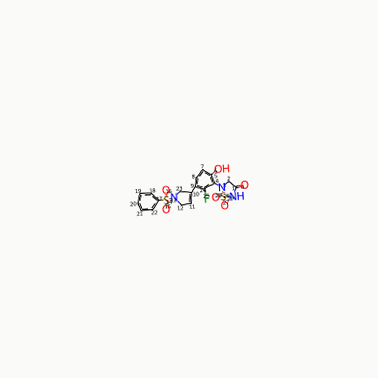 O=C1CN(c2c(O)ccc(C3=CCN(S(=O)(=O)c4ccccc4)C3)c2F)S(=O)(=O)N1